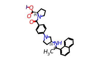 C[C@@H](N[C@H]1CCN(c2ccc(C(=O)N3CCC[C@@H]3C(=O)OI)cc2)C1)c1cccc2ccccc12